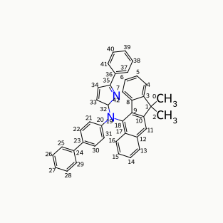 CC1(C)c2ccccc2-c2c1cc1ccccc1c2N(c1ccc(-c2ccccc2)cc1)C1C=CC(c2ccccc2)=N1